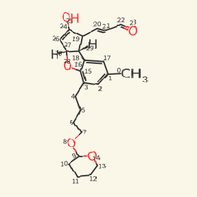 Cc1cc(CCCCOC2CCCCO2)c2c(c1)[C@H]1C(C=CC=O)C(O)=C[C@H]1O2